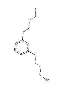 BrCCCCc1cccc(CCCCI)c1